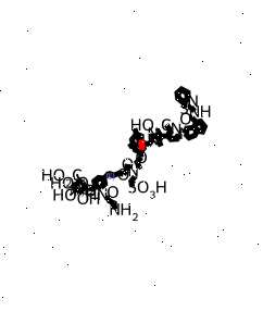 Cc1c(-c2ccc(N3CCc4cccc(C(=O)Nc5nc6ccccc6s5)c4C3)nc2C(=O)O)cnn1CC12CC3(C)CC(C)(C1)CC(OCCN(CCS(=O)(=O)O)C(=O)OC/C=C/c1ccc(O[C@@H]4O[C@H](C(=O)O)[C@@H](O)[C@H](O)[C@H]4O)c(NC(=O)CCN)c1)(C3)C2